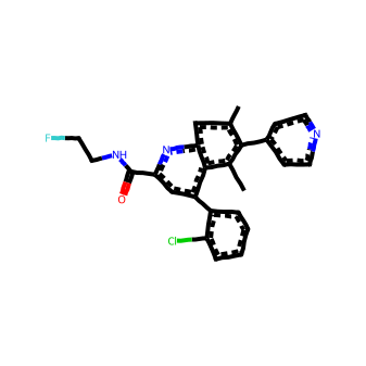 Cc1cc2nc(C(=O)NCCF)cc(-c3ccccc3Cl)c2c(C)c1-c1ccncc1